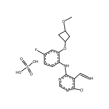 COC1CC(Oc2cc(F)ccc2Nc2ncnc(Cl)c2C=N)C1.O=S(=O)(O)O